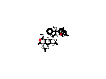 COC(=O)[C@H]1O[C@@H](OC(=O)[C@@H](Oc2nc(C)cc(C)n2)C(OC)(c2ccccc2)c2ccccc2)[C@H](OC(C)=O)[C@@H](OC(C)=O)[C@@H]1OC(C)=O